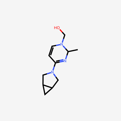 CC1N=C(N2CC3CC3C2)C=CN1CO